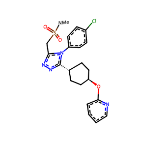 CNS(=O)(=O)Cc1nnc([C@H]2CC[C@H](Oc3ccccn3)CC2)n1-c1ccc(Cl)cc1